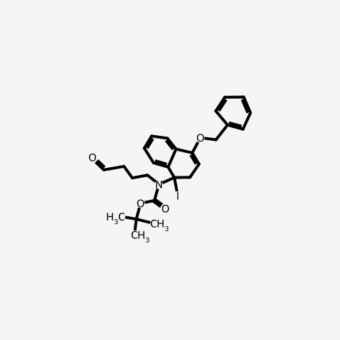 CC(C)(C)OC(=O)N(CCCC=O)C1(I)CC=C(OCc2ccccc2)c2ccccc21